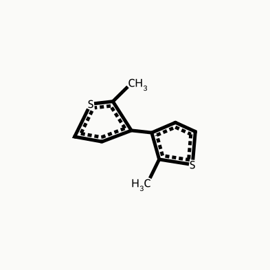 Cc1sccc1-c1ccsc1C